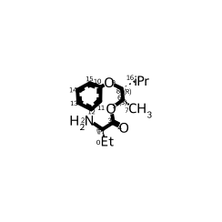 CC[C@H](N)C(=O)O[C@@H](C)[C@H](Oc1ccccc1)C(C)C